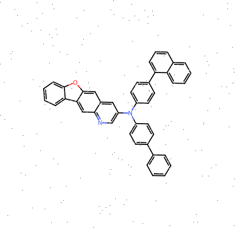 c1ccc(-c2ccc(N(c3ccc(-c4cccc5ccccc45)cc3)c3cnc4cc5c(cc4c3)oc3ccccc35)cc2)cc1